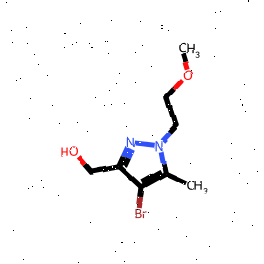 COCCn1nc(CO)c(Br)c1C